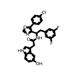 O=C(Cc1c[nH]c2ccc(O)cc12)NC(Cc1cc(F)cc(F)c1)c1ncoc1-c1ccc(Cl)cc1